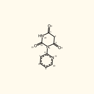 O=C1CC(=O)N(c2ccccn2)C(=O)N1